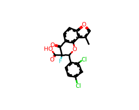 Cc1coc2ccc3c(c12)OC(c1ccc(Cl)cc1Cl)C(F)(C(=O)O)C3=O